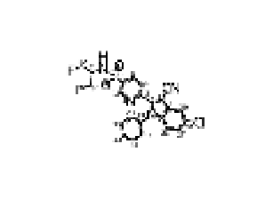 N#Cc1c(-c2ccc(S(=O)(=O)NC(CF)CF)cn2)n(-c2ccccc2)c2ccc(Cl)cc12